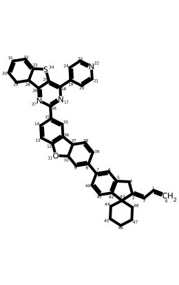 C=C/C=C1\Cc2cc(C3=CC4Oc5ccc(-c6nc(-c7ccncc7)c7c(n6)C6CC=CC=C6S7)cc5C4C=C3)ccc2C12CCCCC2